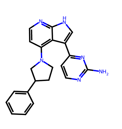 Nc1nccc(-c2c[nH]c3nccc(N4CCC(c5ccccc5)C4)c23)n1